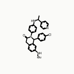 CCC(C)Nc1ccc2c(c1)C(c1ccc(Cl)cc1)N(c1ccc(NC(C)c3ccncc3)cc1)C(=O)C2